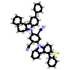 N#Cc1cc(-n2c3ccccc3c3c4c(ccc32)sc2ccccc24)c(C#N)cc1-n1c2ccc(-c3ccccc3)cc2c2c3ccccc3ccc21